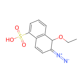 CCOC1C(=[N+]=[N-])C=Cc2c1cccc2S(=O)(=O)O